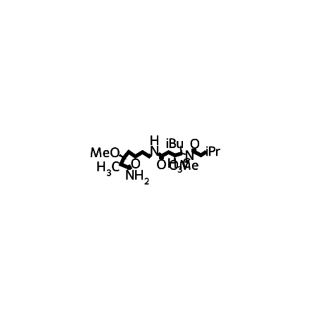 CC[C@H](C)[C@@H]([C@@H](CC(=O)NCCCC[C@H](OC)[C@@H](C)C(N)=O)OC)N(C)C(=O)CC(C)C